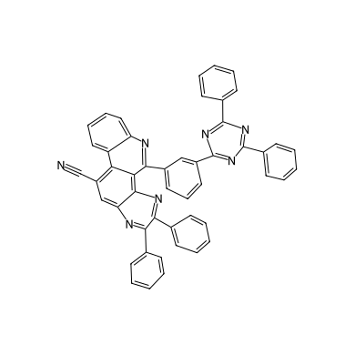 N#Cc1cc2nc(-c3ccccc3)c(-c3ccccc3)nc2c2c(-c3cccc(-c4nc(-c5ccccc5)nc(-c5ccccc5)n4)c3)nc3ccccc3c12